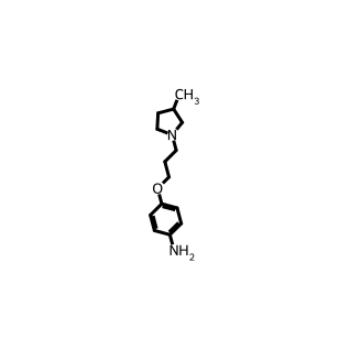 CC1CCN(CCCOc2ccc(N)cc2)C1